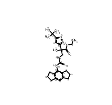 CCOC(=O)C(O)(CNC(=S)Nc1c2c(cc3c1CCC3)CCC2)c1cc(C(C)(C)O)on1